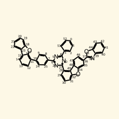 c1ccc(-c2nc(-c3ccc(-c4cccc5c4oc4ccccc45)cc3)nc(-c3cccc4oc5cc(-c6nc7ccccc7o6)ccc5c34)n2)cc1